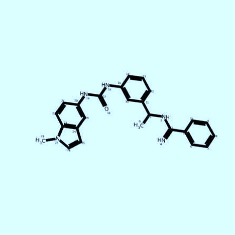 CC(NC(=N)c1ccccc1)c1cccc(NC(=O)Nc2ccc3c(ccn3C)c2)c1